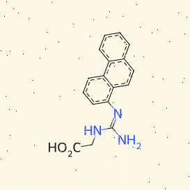 NC(=Nc1cccc2c1ccc1ccccc12)NCC(=O)O